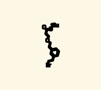 CC(C)(C)OC(=O)CCOCCc1cccc(CCBr)c1